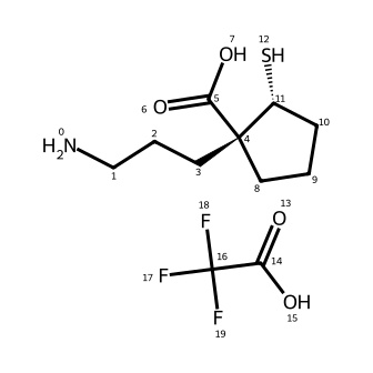 NCCC[C@]1(C(=O)O)CCC[C@H]1S.O=C(O)C(F)(F)F